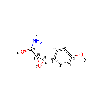 COc1ccc([C@@H]2O[C@H]2C(N)=O)cc1